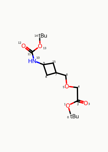 CC(C)(C)OC(=O)COCC1CC(NC(=O)OC(C)(C)C)C1